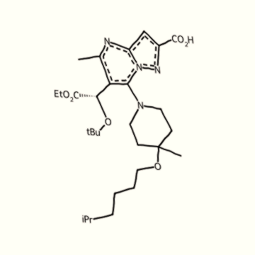 CCOC(=O)[C@@H](OC(C)(C)C)c1c(C)nc2cc(C(=O)O)nn2c1N1CCC(C)(OCCCCC(C)C)CC1